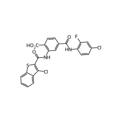 O=C(Nc1ccc(Cl)cc1F)c1ccc(C(=O)O)c(NC(=O)c2sc3ccccc3c2Cl)c1